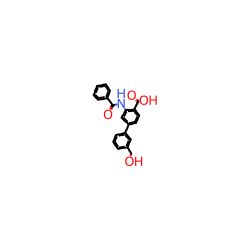 O=C(Nc1cc(-c2cccc(CO)c2)ccc1C(=O)O)c1ccccc1